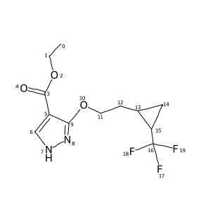 CCOC(=O)c1c[nH]nc1OCCC1CC1C(F)(F)F